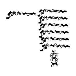 CCCCOCCOCCOO[n+]1ccn(CC)c1.CCCCOCCOCCOO[n+]1ccn(CC)c1.CCCCOCCOCCOO[n+]1ccn(CC)c1.CCCCOCCOCCOO[n+]1ccn(CC)c1.CCCCOCCOCCOO[n+]1ccn(CC)c1.CCCCOCCOCCOO[n+]1ccn(CC)c1.CCCCOCCOCCOO[n+]1ccn(CC)c1.O=C([O-])C(=O)[O-].O=C([O-])C(=O)[O-].[O-]B([O-])[O-]